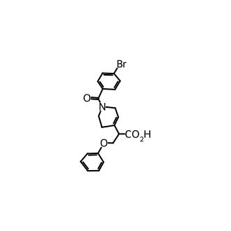 O=C(O)C(COc1ccccc1)C1=CCN(C(=O)c2ccc(Br)cc2)CC1